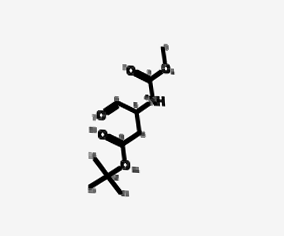 COC(=O)NC(C=O)CC(=O)OC(C)(C)C